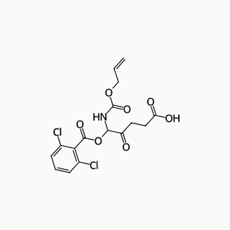 C=CCOC(=O)NC(OC(=O)c1c(Cl)cccc1Cl)C(=O)CCC(=O)O